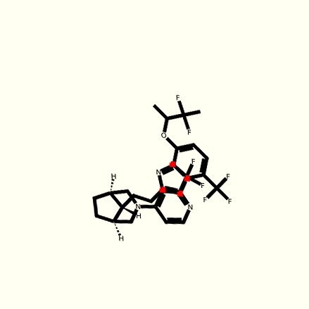 CC(Oc1ccc(C(F)(F)F)n2nc(CC[C@@H]3[C@@H]4CC[C@H]3CN(c3ccnc(C(F)(F)F)c3)C4)nc12)C(C)(F)F